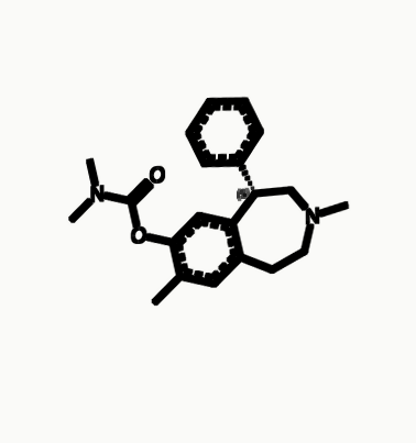 Cc1cc2c(cc1OC(=O)N(C)C)[C@H](c1ccccc1)CN(C)CC2